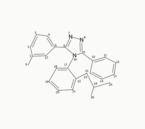 Cc1cccc(-c2nnc(-c3ccccc3)n2-c2ccccc2CC(C)C)c1